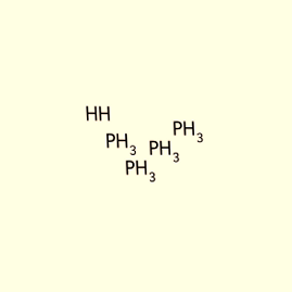 P.P.P.P.[HH]